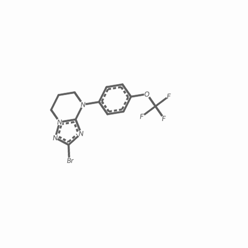 FC(F)(F)Oc1ccc(N2CCCn3nc(Br)nc32)cc1